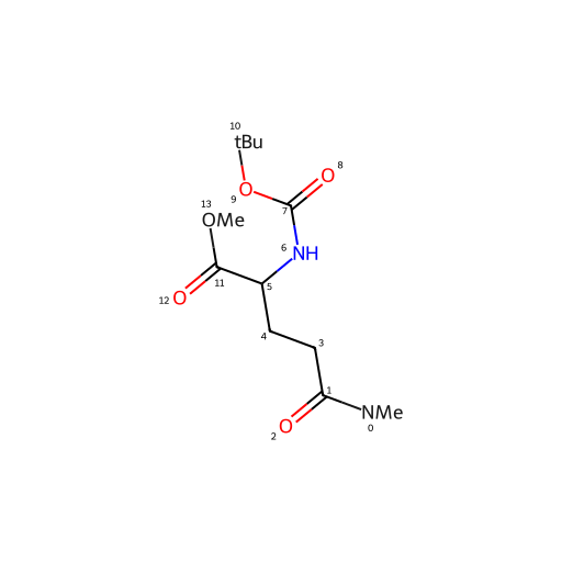 CNC(=O)CCC(NC(=O)OC(C)(C)C)C(=O)OC